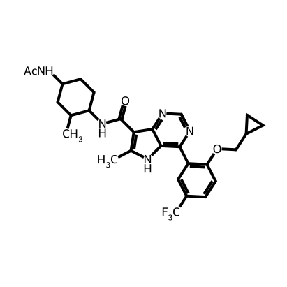 CC(=O)NC1CCC(NC(=O)c2c(C)[nH]c3c(-c4cc(C(F)(F)F)ccc4OCC4CC4)ncnc23)C(C)C1